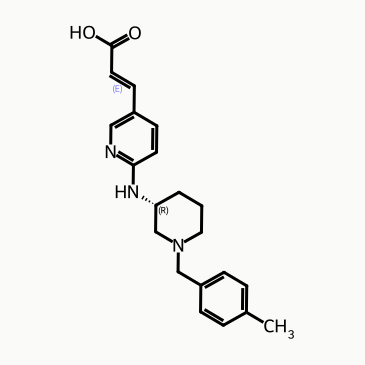 Cc1ccc(CN2CCC[C@@H](Nc3ccc(/C=C/C(=O)O)cn3)C2)cc1